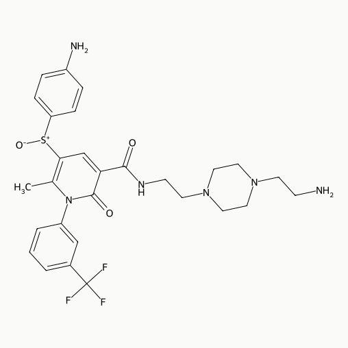 Cc1c([S+]([O-])c2ccc(N)cc2)cc(C(=O)NCCN2CCN(CCN)CC2)c(=O)n1-c1cccc(C(F)(F)F)c1